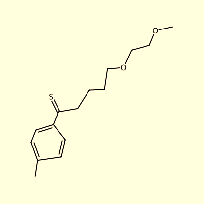 COCCOCCCCC(=S)c1ccc(C)cc1